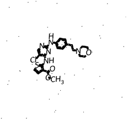 COC(=O)c1ccsc1Nc1nc(Nc2ccc(CCN3CCOCC3)cc2)ncc1Cl